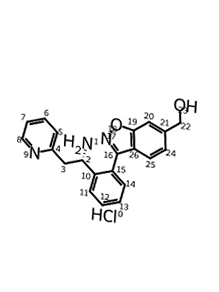 Cl.N[C@@H](Cc1ccccn1)c1ccccc1-c1noc2cc(CO)ccc12